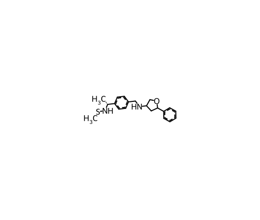 CSN[C@H](C)c1ccc(CNC2COC(c3ccccc3)C2)cc1